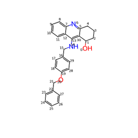 OC1CCCc2nc3ccccc3c(NCc3ccc(OCc4ccccc4)cc3)c21